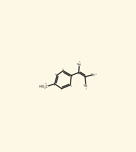 [2H]C([2H])=C([2H])c1ccc(C(=O)O)cc1